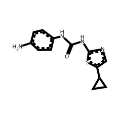 Nc1ccc(NC(=O)Nc2ncc(C3CC3)s2)cc1